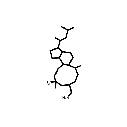 CC(C)CC(C)C1CCC2C3CCC(C)(N)CC(CN)CCC(C)C3CCC12